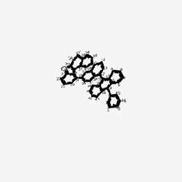 c1ccc(-c2c3ccccc3c(-c3cccc4cc(-c5cccc6oc7ccc8ccccc8c7c56)ccc34)c3ccccc23)cc1